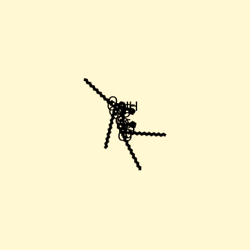 CCCCCCCCCCCCCCCC(=O)Oc1cc2c(cc1OC(=O)CCCCCCCCCCCCCCC)C(CSc1cccs1)(OC(=O)/C=C/C(=O)OC1(CSc3cccs3)NCCc3cc(OC(=O)CCCCCCCCCCCCCCC)c(OC(=O)CCCCCCCCCCCCCCC)cc31)NCC2